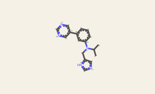 CC(C)N(Cc1cnc[nH]1)c1cccc(-c2cncnc2)c1